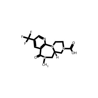 CN1C[C@H]2CN(C(=O)O)CCN2c2ncc(C(F)(F)F)cc2C1=O